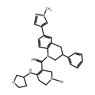 CC(=O)N1CCC(NC2CCOC2)=C(C(=N)N2CC(c3ccccc3)Cc3cc(-c4cnn(C)c4)ccc32)C1